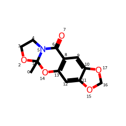 CC12OCCN1C(=O)c1cc3c(cc1O2)OCO3